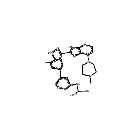 CCCCC(O)Nc1cncc(-c2cc(F)c3[nH]nc(-c4nc5c(N6CCN(C)CC6)ccnc5[nH]4)c3c2)c1